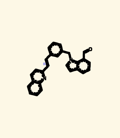 O=Cc1cccc2ccn(Cc3cccc(/C=C/c4ccc5ccccc5n4)c3)c12